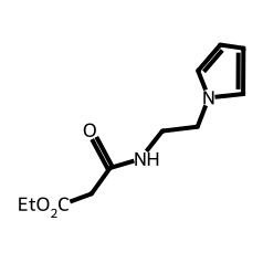 CCOC(=O)CC(=O)NCCn1cccc1